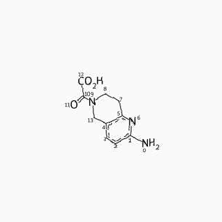 Nc1ccc2c(n1)CCN(C(=O)C(=O)O)C2